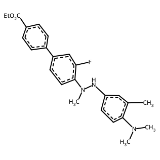 CCOC(=O)c1ccc(-c2ccc(N(C)Nc3ccc(N(C)C)c(C)c3)c(F)c2)cc1